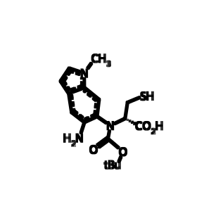 Cn1ccc2cc(N)c(N(C(=O)OC(C)(C)C)[C@H](CS)C(=O)O)cc21